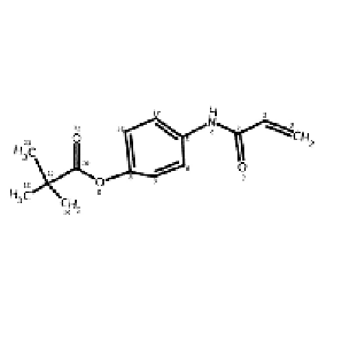 C=CC(=O)Nc1ccc(OC(=O)C(C)(C)C)cc1